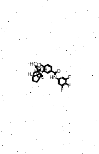 C#C[C@]1(O)CC2CC[C@@H](C1)[C@H]2S(=O)(=O)c1cc(C(=O)Nc2cc(F)c(F)c(F)c2)ccc1Cl